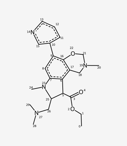 CCOC(=O)C1c2c(cc(-c3cccnc3)c3c2CN(C)CO3)N(C)C1CN(C)C